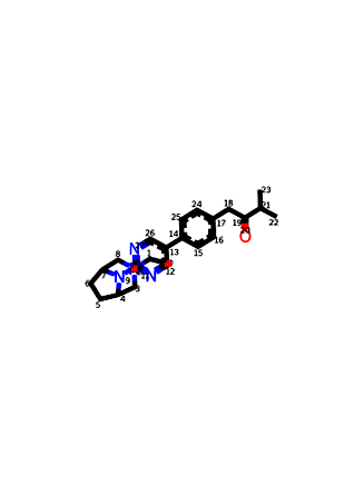 CCN1CC2CCC(C1)N2c1ncc(-c2ccc(CC(=O)C(C)C)cc2)cn1